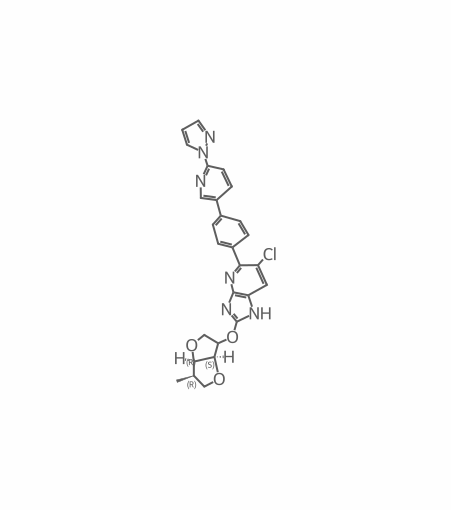 C[C@@H]1CO[C@@H]2C(Oc3nc4nc(-c5ccc(-c6ccc(-n7cccn7)nc6)cc5)c(Cl)cc4[nH]3)CO[C@H]12